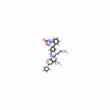 CCCCc1nc(C)c(CC(=O)N2CCCC2)c(=O)n1Cc1ccc(-c2ccccc2-c2noc(=O)[nH]2)cc1